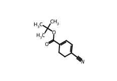 CC(C)(C)OC(=O)C1=CC=C(C#N)CC1